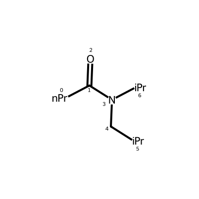 [CH2]CCC(=O)N(CC(C)C)C(C)C